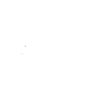 CCN1C(=O)c2c(OCc3ccccc3)c(=O)ccn2NC1CO